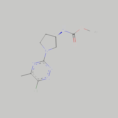 Cc1nc(N2CC[C@@H](NC(=O)OC(C)(C)C)C2)nnc1Cl